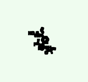 C=CC[C@H](NC(=O)O)c1ccnc(-c2c(NC(=O)[C@H](C)C=C)cnn2C(F)F)c1